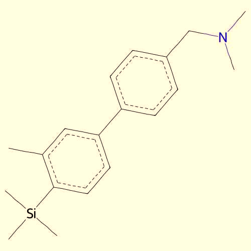 Cc1cc(-c2ccc(CN(C)C)cc2)ccc1[Si](C)(C)C